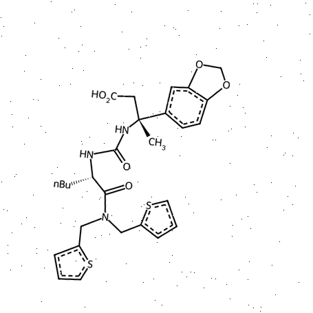 CCCC[C@H](NC(=O)N[C@](C)(CC(=O)O)c1ccc2c(c1)OCO2)C(=O)N(Cc1cccs1)Cc1cccs1